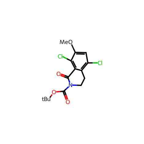 COc1cc(Cl)c2c(c1Cl)C(=O)N(C(=O)OC(C)(C)C)CC2